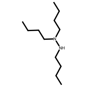 CCCCNN(CCCC)CCCC